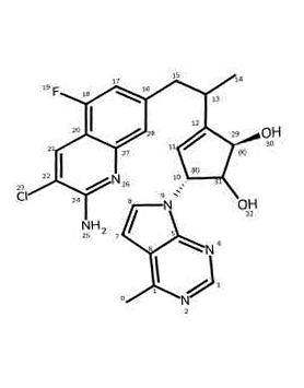 Cc1ncnc2c1ccn2[C@@H]1C=C(C(C)Cc2cc(F)c3cc(Cl)c(N)nc3c2)[C@@H](O)C1O